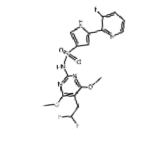 COc1nc(NS(=O)(=O)c2c[nH]c(-c3ncccc3F)c2)nc(OC)c1CC(F)F